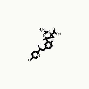 CC1(c2cc(C=C(F)c3ccc(Cl)cn3)ccc2F)N=C(N)SC2(C(=O)O)CC21